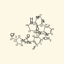 Cc1cc(F)c(NC(=O)N2CCC(CC(F)(F)F)C2)cc1Nc1ncccc1-c1ncnc2c1OCCCN2